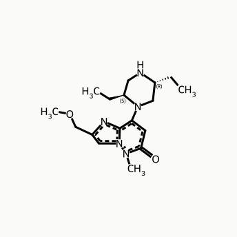 CC[C@@H]1CN(c2cc(=O)n(C)n3cc(COC)nc23)[C@@H](CC)CN1